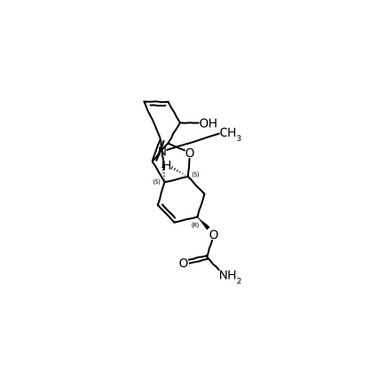 CN1CC[C@@]23C=C[C@H](OC(N)=O)C[C@@H]2OC2C3=C(C=CC2O)C1